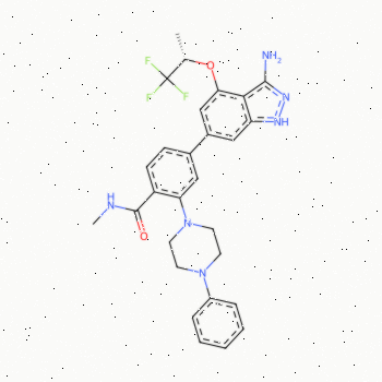 CNC(=O)c1ccc(-c2cc(O[C@@H](C)C(F)(F)F)c3c(N)n[nH]c3c2)cc1N1CCN(c2ccccc2)CC1